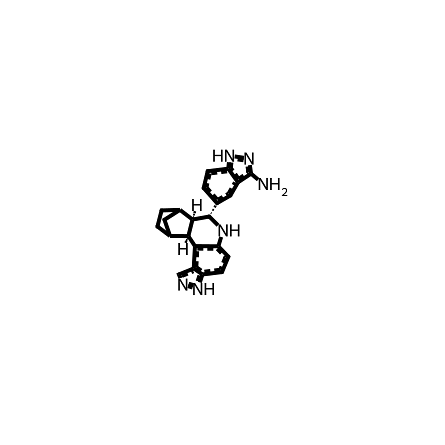 Nc1n[nH]c2ccc([C@@H]3Nc4ccc5[nH]ncc5c4[C@H]4C5CCC(C5)[C@@H]34)cc12